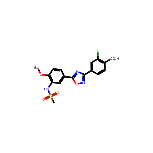 CCC(C)Oc1ccc(-c2nc(-c3ccc(C(=O)O)c(F)c3)no2)cc1NS(C)(=O)=O